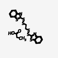 CCC(=O)O.c1ccc2sc(SSCCSSc3nc4ccccc4s3)nc2c1